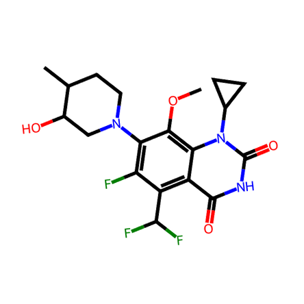 COc1c(N2CCC(C)C(O)C2)c(F)c(C(F)F)c2c(=O)[nH]c(=O)n(C3CC3)c12